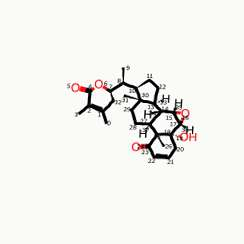 CC1=C(C)C(=O)O[C@@H]([C@@H](C)[C@H]2CC[C@H]3[C@@H]4[C@@H]5O[C@@H]5[C@@]5(O)CC=CC(=O)[C@]5(C)[C@H]4CC[C@]23C)C1